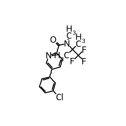 CN(C(=O)c1ccc(-c2cccc(Cl)c2)cn1)C(C)(C)C(F)(F)F